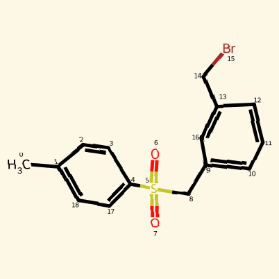 Cc1ccc(S(=O)(=O)Cc2cccc(CBr)c2)cc1